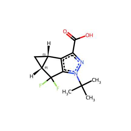 CC(C)(C)n1nc(C(=O)O)c2c1C(F)(F)[C@@H]1C[C@H]21